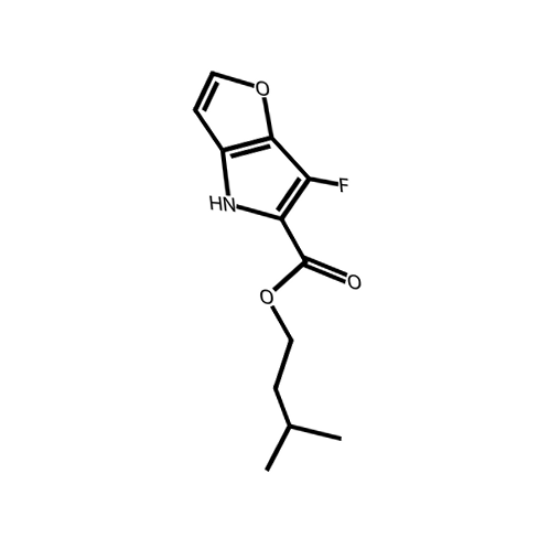 CC(C)CCOC(=O)c1[nH]c2ccoc2c1F